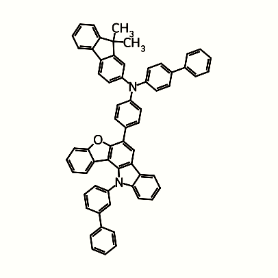 CC1(C)c2ccccc2-c2ccc(N(c3ccc(-c4ccccc4)cc3)c3ccc(-c4cc5c6ccccc6n(-c6cccc(-c7ccccc7)c6)c5c5c4oc4ccccc45)cc3)cc21